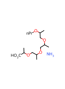 CCCOC(C)COC(C)COC(C)COC(C)C(=O)O.N